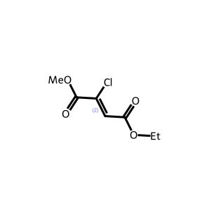 CCOC(=O)/C=C(\Cl)C(=O)OC